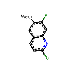 COc1cc2ccc(Cl)nc2cc1F